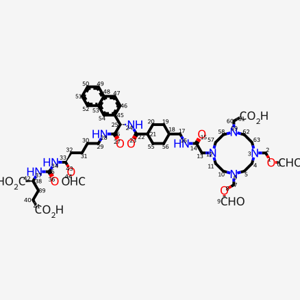 O=COCN1CCN(COC=O)CCN(CC(=O)NCC2CCC(C(=O)N[C@H](C(=O)NCCCC[C@H](NC(=O)N[C@@H](CCC(=O)O)C(=O)O)OC=O)c3ccc4ccccc4c3)CC2)CCN(CC(=O)O)CC1